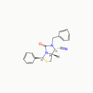 N#C[C@@H]1[C@@H]2CS[C@@H](c3ccccc3)N2C(=O)N1Cc1ccccc1